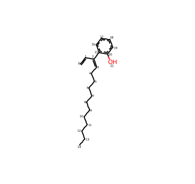 C=CC(=CCCCCCCCCCCC)c1ccccc1O